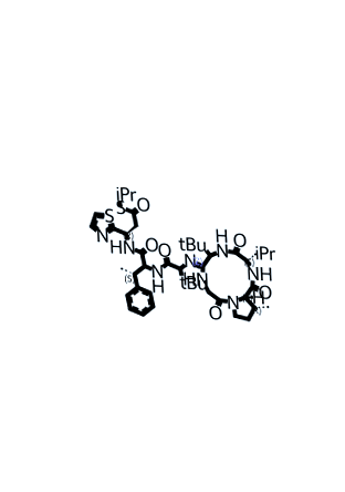 CC(C)SC(=O)C[C@@H](NC(=O)C(NC(=O)C(/N=C1\NCC(=O)N2CC[C@@H](C)[C@H]2C(=O)N[C@@H](C(C)C)C(=O)NC1C(C)(C)C)C(C)(C)C)[C@@H](C)c1ccccc1)c1nccs1